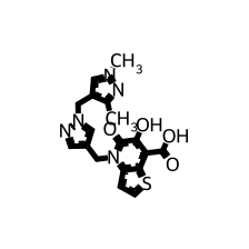 Cc1nn(C)cc1Cn1cc(Cn2c(=O)c(O)c(C(=O)O)c3sccc32)cn1